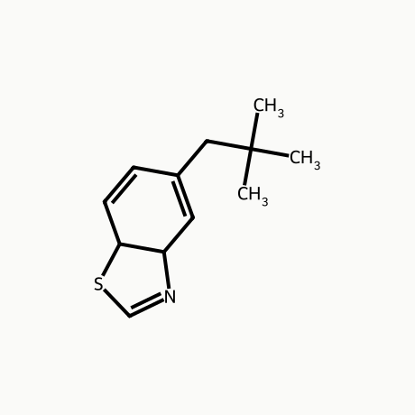 CC(C)(C)CC1=CC2N=CSC2C=C1